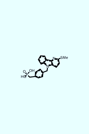 CSc1ccc2c(n1)c1ccccc1n2Cc1ccc(CP(=O)(O)O)cc1